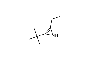 CCC1=C(C(C)(C)C)N1